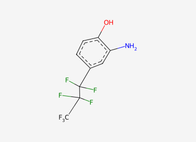 Nc1cc(C(F)(F)C(F)(F)C(F)(F)F)ccc1O